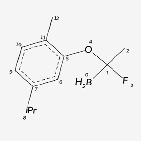 BC(C)(F)Oc1cc(C(C)C)ccc1C